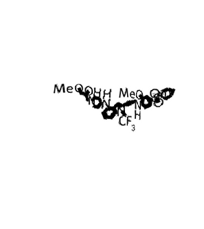 COCC(O)CN1CCC(Nc2cccc3c2cc(C#CCNc2ccc(S(=O)(=O)N4CC5CC(C4)O5)cc2OC)n3CC(F)(F)F)CC1